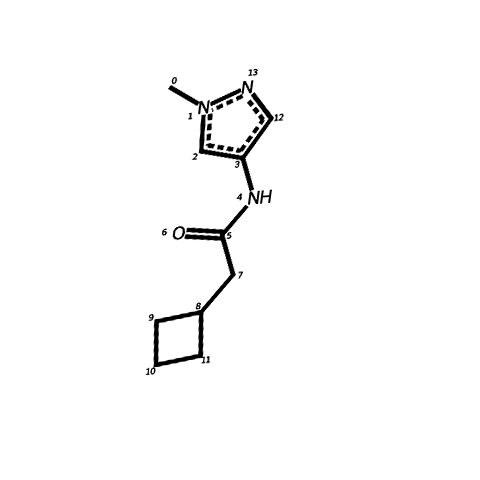 Cn1cc(NC(=O)CC2CCC2)cn1